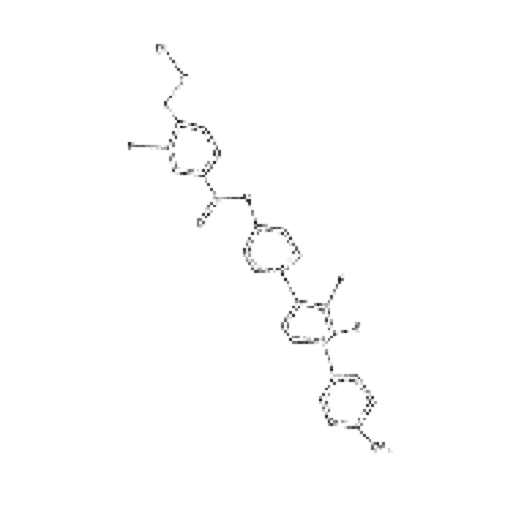 CCOCc1ccc(C(=O)Oc2ccc(-c3ccc(-c4ccc(C)cc4)c(F)c3F)cc2)cc1F